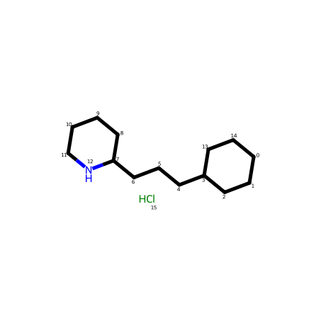 C1CCC(CCCC2CCCCN2)CC1.Cl